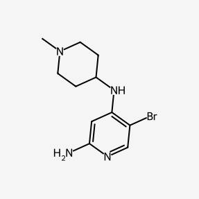 CN1CCC(Nc2cc(N)ncc2Br)CC1